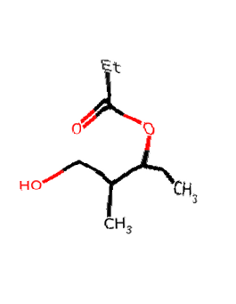 CCC(=O)OC(C)C(C)CO